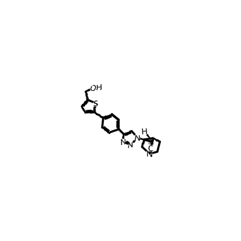 OCc1ccc(-c2ccc(-c3cn([C@H]4CN5CCC4CC5)nn3)cc2)s1